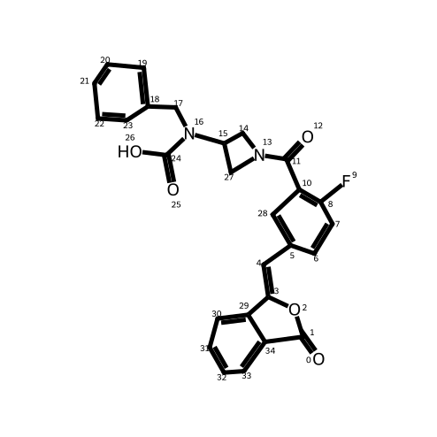 O=C1OC(=Cc2ccc(F)c(C(=O)N3CC(N(Cc4ccccc4)C(=O)O)C3)c2)c2ccccc21